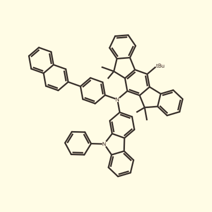 CC(C)(C)c1c2c(c(N(c3ccc(-c4ccc5ccccc5c4)cc3)c3ccc4c5ccccc5n(-c5ccccc5)c4c3)c3c1-c1ccccc1C3(C)C)C(C)(C)c1ccccc1-2